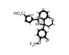 O=C(O)c1ccc(C(=O)NC2(c3ccc(OC(F)(F)F)c(F)c3)CCOc3cccnc32)s1